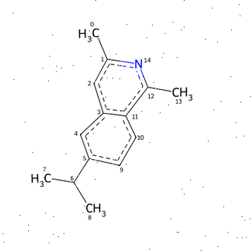 Cc1cc2cc(C(C)C)ccc2c(C)n1